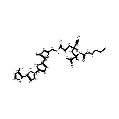 CCCCSC(=S)SC(C)(CC(C)(C#N)CCC(=O)OCc1cc(C)c(-c2ccc(-c3ccc(-c4sccc4C)s3)s2)s1)C(C)=O